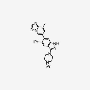 Cc1cc(-c2cc3[nH]nc(N4CCN(C(C)C)CC4)c3cc2C(C)C)cn2ncnc12